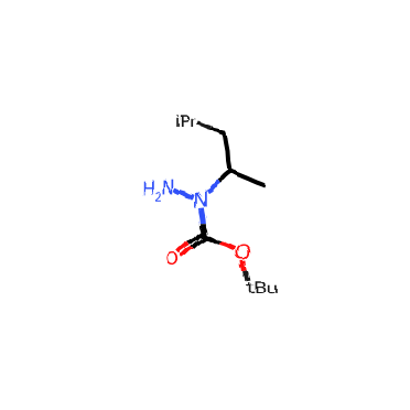 CC(C)CC(C)N(N)C(=O)OC(C)(C)C